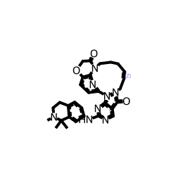 CN1CCc2ccc(Nc3ncc4c(=O)n5n(c4n3)-c3ccc4c(n3)N(CCC/C=C\C5)C(=O)CO4)cc2C1(C)C